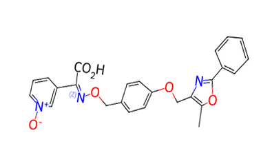 Cc1oc(-c2ccccc2)nc1COc1ccc(CO/N=C(\C(=O)O)c2ccc[n+]([O-])c2)cc1